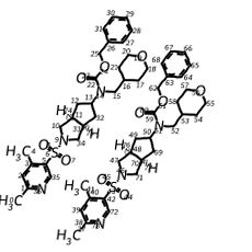 Cc1cc(C)c(S(=O)(=O)N2C[C@H]3CC(N(CC4CCOCC4)C(=O)OCc4ccccc4)C[C@H]3C2)cn1.Cc1cc(C)c(S(=O)(=O)N2C[C@H]3CC(N(CC4CCOCC4)C(=O)OCc4ccccc4)C[C@H]3C2)cn1